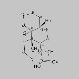 C[C@]12CCC[C@](C)(C(=O)O)C1CC[C@H]1CCCC[C@@H]12